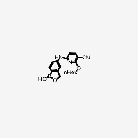 CCCCCCOc1nc(Nc2ccc3c(c2)COB3O)ccc1C#N